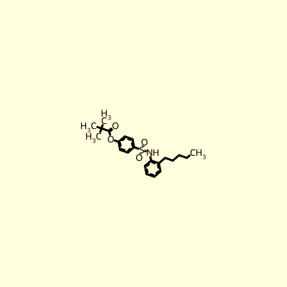 CCCCCc1ccccc1NS(=O)(=O)c1ccc(OC(=O)C(C)(C)C)cc1